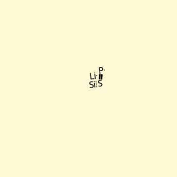 [Li].[P]=S.[Si]